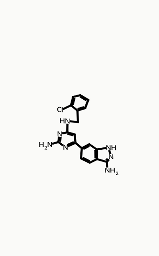 Nc1nc(NCc2ccccc2Cl)cc(-c2ccc3c(N)n[nH]c3c2)n1